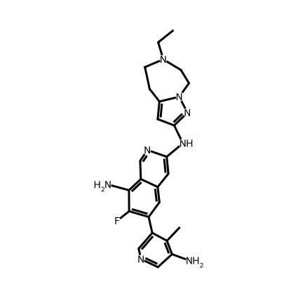 CCN1CCc2cc(Nc3cc4cc(-c5cncc(N)c5C)c(F)c(N)c4cn3)nn2CC1